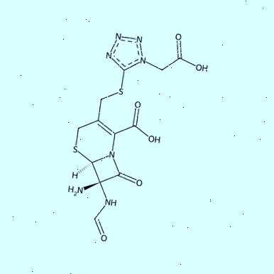 N[C@]1(NC=O)C(=O)N2C(C(=O)O)=C(CSc3nnnn3CC(=O)O)CS[C@@H]21